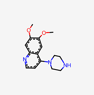 COc1cc2nccc(N3CCNCC3)c2cc1OC